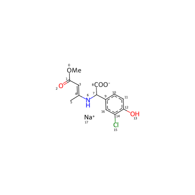 COC(=O)C=C(C)NC(C(=O)[O-])c1ccc(O)c(Cl)c1.[Na+]